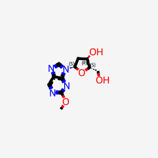 COc1ncc2ncn([C@@H]3C[C@@H](O)[C@H](CO)O3)c2n1